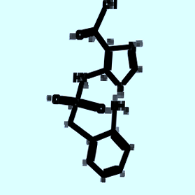 Nc1ccccc1CS(=O)(=O)Nc1scnc1C(=O)O